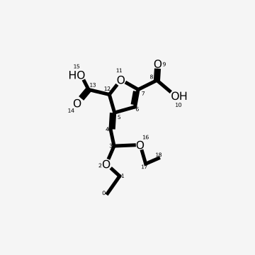 CCOC(C=C1C=C(C(=O)O)OC1C(=O)O)OCC